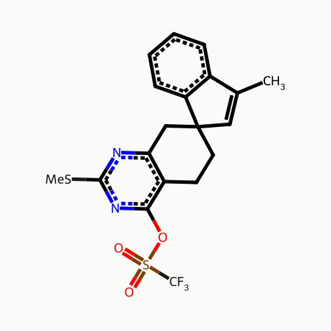 CSc1nc2c(c(OS(=O)(=O)C(F)(F)F)n1)CCC1(C=C(C)c3ccccc31)C2